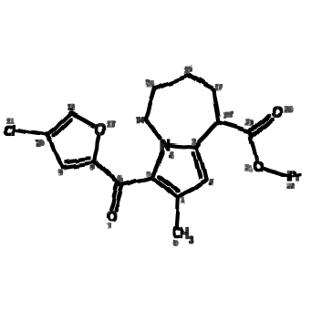 Cc1cc2n(c1C(=O)c1cc(Cl)co1)CCCCC2C(=O)OC(C)C